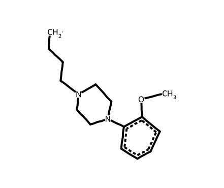 [CH2]CCCN1CCN(c2ccccc2OC)CC1